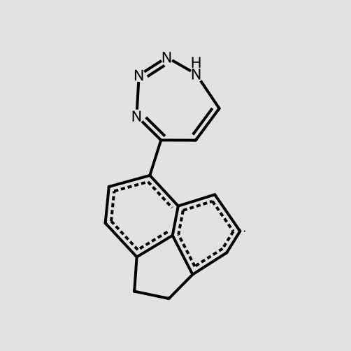 [c]1cc2c3c(ccc(C4=NN=NNC=C4)c3c1)CC2